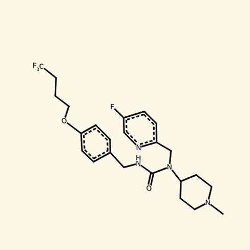 CN1CCC(N(Cc2ccc(F)cn2)C(=O)NCc2ccc(OCCCC(F)(F)F)cc2)CC1